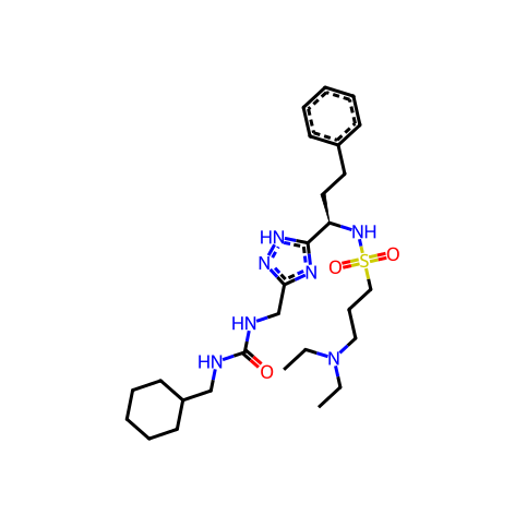 CCN(CC)CCCS(=O)(=O)N[C@H](CCc1ccccc1)c1nc(CNC(=O)NCC2CCCCC2)n[nH]1